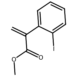 C=C(C(=O)OC)c1ccccc1I